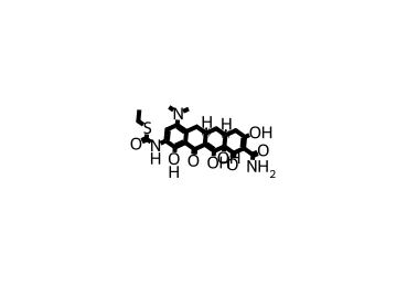 CCSC(=O)Nc1cc(N(C)C)c2c(c1O)C(=O)C1=C(O)C3(O)C(=O)C(C(N)=O)=C(O)C[C@@H]3C[C@@H]1C2